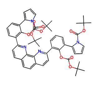 CC(C)(C)OC(=O)Oc1c(-c2ccc3ccc4ccc(-c5cccc(-c6cccn6C(=O)OC(C)(C)C)c5OC(=O)OC(C)(C)C)nc4c3n2)cccc1-c1cccn1C(=O)OC(C)(C)C